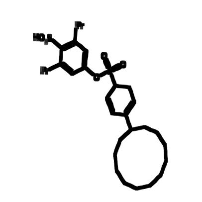 CC(C)c1cc(OS(=O)(=O)C2C=CC(C3CCCCCCCCCCC3)=CC2)cc(C(C)C)c1S(=O)(=O)O